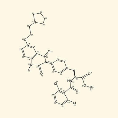 CC(C)OC(=O)[C@H](Cc1ccc(-n2c(=O)c3cc(OCCN4CCCC4)ccc3n(C)c2=O)cc1)NC(=O)c1c(Cl)cccc1Cl